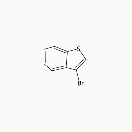 Brc1[c]sc2ccccc12